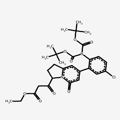 CCOC(=O)CC(=O)C1CCc2cc(-c3cc(Cl)ccc3N(C(=O)OC(C)(C)C)C(=O)OC(C)(C)C)cc(=O)n21